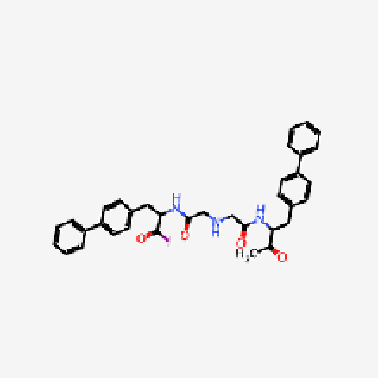 CC(=O)C(Cc1ccc(-c2ccccc2)cc1)NC(=O)CNCC(=O)NC(Cc1ccc(-c2ccccc2)cc1)C(=O)I